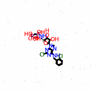 O=P(O)(O)CP(=O)(O)NC[C@H]1O[C@@H](n2cnc3c(NCc4ccccc4Cl)nc(Cl)nc32)C(O)C1O